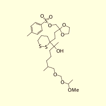 COC(C)OCOCC(C)CCCC(C)(O)C1(CCC2(COS(=O)(=O)c3ccc(C)cc3)OCCO2)CCCSS1